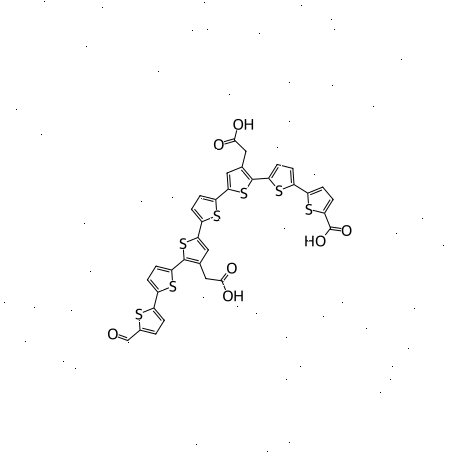 O=Cc1ccc(-c2ccc(-c3sc(-c4ccc(-c5cc(CC(=O)O)c(-c6ccc(-c7ccc(C(=O)O)s7)s6)s5)s4)cc3CC(=O)O)s2)s1